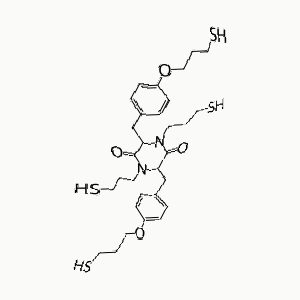 O=C1C(Cc2ccc(OCCCS)cc2)N(CCCS)C(=O)C(Cc2ccc(OCCCS)cc2)N1CCCS